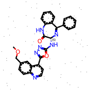 COCc1ccc2nccc(-c3nnc(N[C@H]4N=C(c5ccccc5)c5ccccc5NC4=O)o3)c2c1